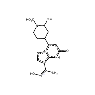 CC(C)(C)C1CC(c2cc(=O)[nH]c3c(/C(N)=N\O)cnn23)CCN1C(=O)O